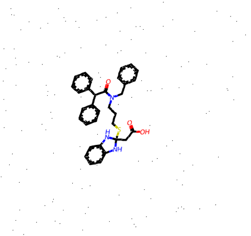 O=C(O)CC1(SCCCN(Cc2ccccc2)C(=O)C(c2ccccc2)c2ccccc2)Nc2ccccc2N1